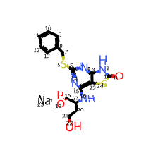 O=c1[nH]c2nc(SCc3ccccc3)nc(NC(CO)CCO)c2s1.[Na]